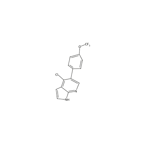 FC(F)(F)Oc1ccc(-c2cnc3[nH]ccc3c2Cl)cc1